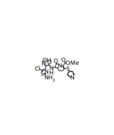 COC(=O)C1=C(Sc2ccncc2)CCC2C(NC(=O)/C(=N\O)c3nc(N)sc3Cl)C(=O)N12